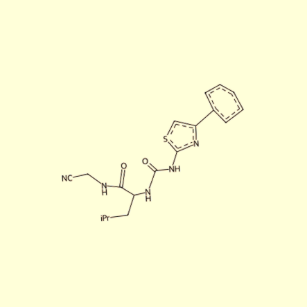 CC(C)CC(NC(=O)Nc1nc(-c2ccccc2)cs1)C(=O)NCC#N